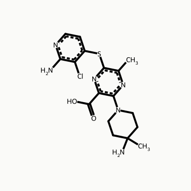 Cc1nc(N2CCC(C)(N)CC2)c(C(=O)O)nc1Sc1ccnc(N)c1Cl